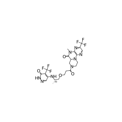 C[C@@H](COCCC(=O)N1CCN2c3ncc(C(F)(F)F)nc3N(C)C(=O)C2C1)Nc1cn[nH]c(=O)c1C(F)(F)F